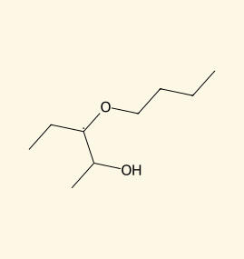 CCCCO[C](CC)C(C)O